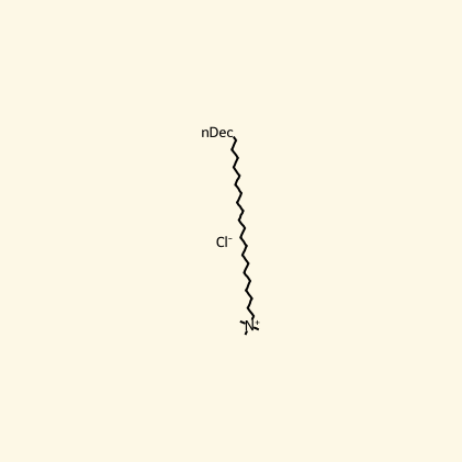 CCCCCCCCCCCCCCCCCCCCCCCCCCCCCCC[N+](C)(C)C.[Cl-]